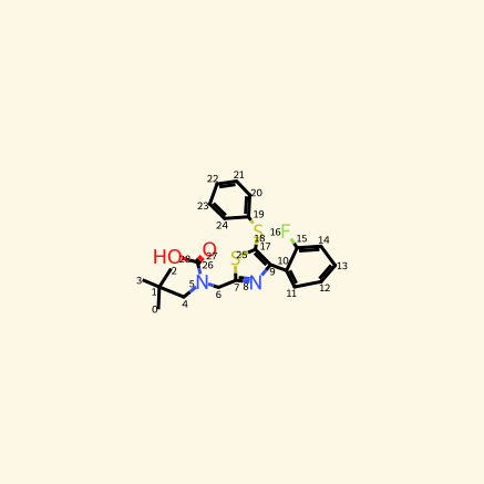 CC(C)(C)CN(Cc1nc(-c2ccccc2F)c(Sc2ccccc2)s1)C(=O)O